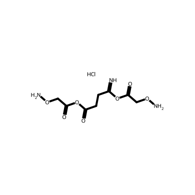 Cl.N=C(CCC(=O)OC(=O)CON)OC(=O)CON